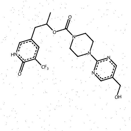 CC(Cc1c[nH]c(=O)c(C(F)(F)F)c1)OC(=O)N1CCN(c2ncc(CO)cn2)CC1